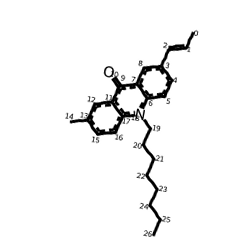 CC=Cc1ccc2c(c1)c(=O)c1cc(C)ccc1n2CCCCCCCC